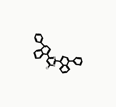 Clc1cc(-c2ccc(-c3ccccc3)c3ccccc23)nc(-c2ccc(-c3ccccc3)c3ccccc23)n1